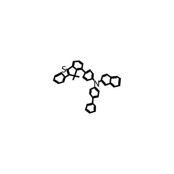 CC1(C)c2c(-c3ccc(N(c4ccc(-c5ccccc5)cc4)c4ccc5ccccc5c4)cc3)cccc2-c2sc3ccccc3c21